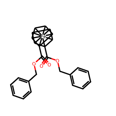 O=C(OCc1ccccc1)[C]12[CH]3[CH]4[CH]5[CH]1[Fe]45321678[CH]2[CH]1[CH]6[C]7(C(=O)OCc1ccccc1)[CH]28